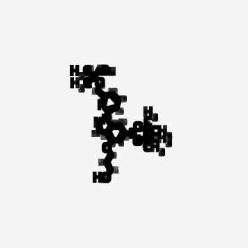 CC1(C)OB(c2cc(OCCCO)c3cnn(-c4cccc(CO[Si](C)(C)C(C)(C)C)n4)c3c2)OC1(C)C